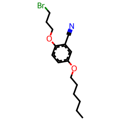 CCCCCCOc1ccc(OCCCBr)c(C#N)c1